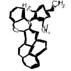 Cc1cc(C)c(B2c3ccccc3Oc3c2cc2ccc4cccc5ccc3c2c45)c(C)c1